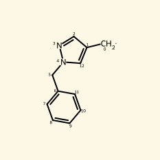 [CH2]c1cnn(Cc2ccccc2)c1